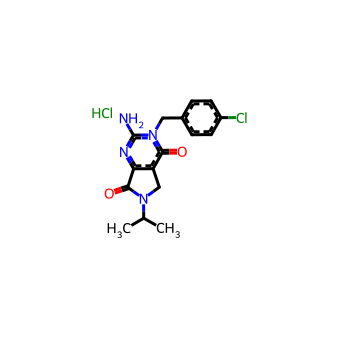 CC(C)N1Cc2c(nc(N)n(Cc3ccc(Cl)cc3)c2=O)C1=O.Cl